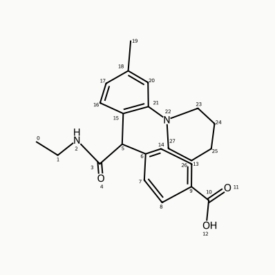 CCNC(=O)C(c1ccc(C(=O)O)cc1)c1ccc(C)cc1N1CCCCC1